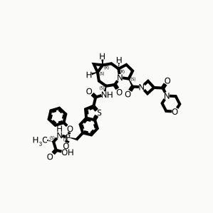 C[C@H](N[P@](=O)(Cc1ccc2sc(C(=O)N[C@H]3C[C@@H]4C[C@@H]4C[C@H]4CC[C@@H](C(=O)N5CC(C(=O)N6CCOCC6)C5)N4C3=O)cc2c1)Oc1ccccc1)C(=O)O